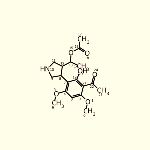 COc1cc(OC)c(C2CNCC2C(C)OC(C)=O)c(O)c1C(C)=O